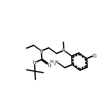 CCN(CCN(C)c1cc(Cl)ccc1CN)C(=O)OC(C)(C)C